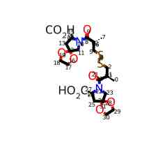 C[C@H](CSSC[C@@H](C)C(=O)N1CC2(C[C@H]1C(=O)O)OCCO2)C(=O)N1CC2(C[C@H]1C(=O)O)OCCO2